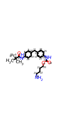 CC(C)C(C)(C)C(=O)Nc1ccc(Cc2ccc(NC(=O)OCCCCN)cc2)cc1